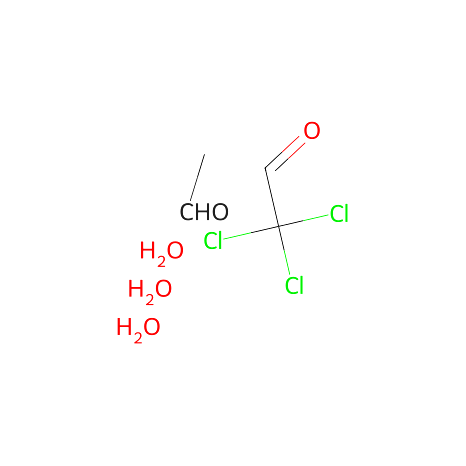 CC=O.O.O.O.O=CC(Cl)(Cl)Cl